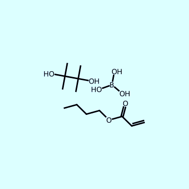 C=CC(=O)OCCCC.CC(C)(O)C(C)(C)O.OB(O)O